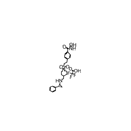 O=C(NO)c1ccc(CCS(=O)(=O)N2CCC(CNC3CC3c3ccccc3)CC2)cc1.O=C(O)C(F)(F)F